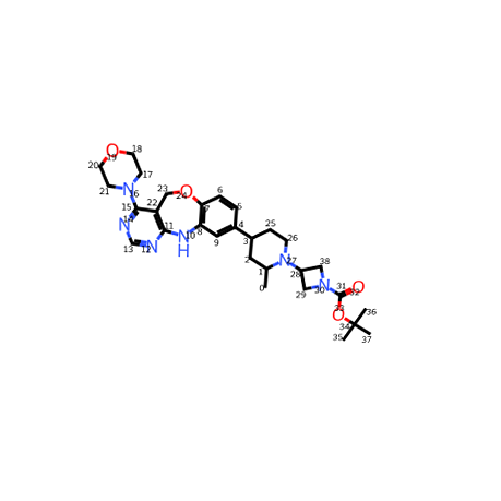 CC1CC(c2ccc3c(c2)Nc2ncnc(N4CCOCC4)c2CO3)CCN1C1CN(C(=O)OC(C)(C)C)C1